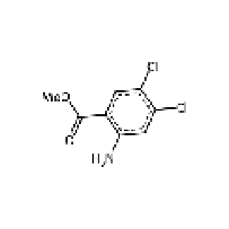 COC(=O)c1cc(Cl)c(Cl)cc1N